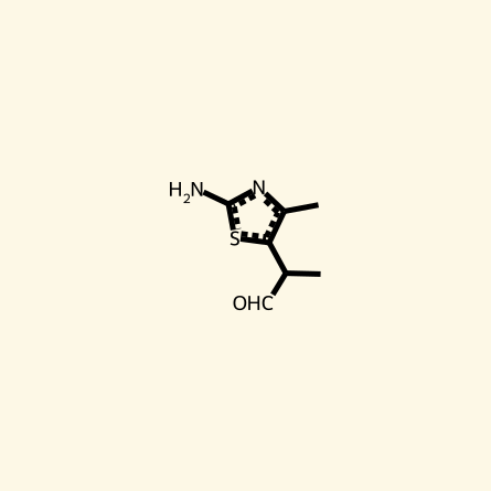 Cc1nc(N)sc1C(C)C=O